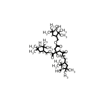 COC(CC(=O)OCC1CC(C)(C)N(O)C1(C)C)(CC(=O)OCC1CC(C)(C)N(O)C1(C)C)C(=O)OCC1CC(C)(C)NC1(C)C